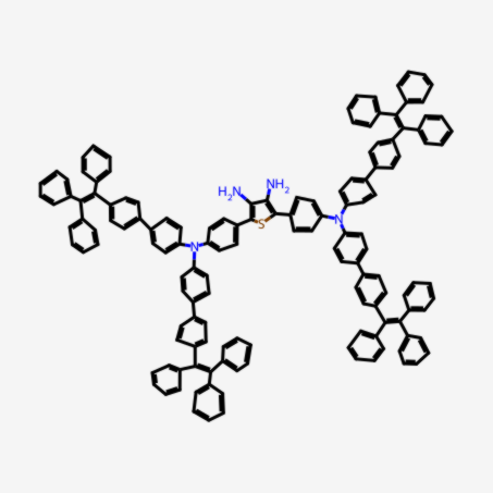 Nc1c(-c2ccc(N(c3ccc(-c4ccc(C(=C(c5ccccc5)c5ccccc5)c5ccccc5)cc4)cc3)c3ccc(-c4ccc(C(=C(c5ccccc5)c5ccccc5)c5ccccc5)cc4)cc3)cc2)sc(-c2ccc(N(c3ccc(-c4ccc(C(=C(c5ccccc5)c5ccccc5)c5ccccc5)cc4)cc3)c3ccc(-c4ccc(C(=C(c5ccccc5)c5ccccc5)c5ccccc5)cc4)cc3)cc2)c1N